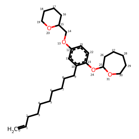 C=CCCCCCCCCc1cc(OCC2CCCCO2)ccc1OC1CCCCCO1